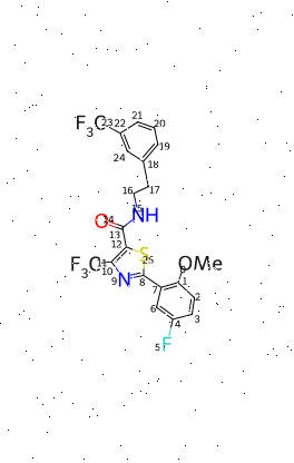 COc1ccc(F)cc1-c1nc(C(F)(F)F)c(C(=O)NCCc2cccc(C(F)(F)F)c2)s1